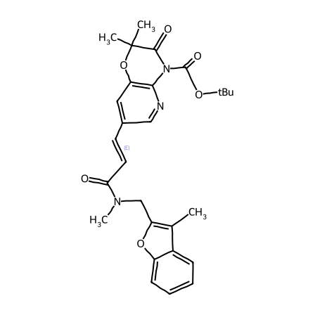 Cc1c(CN(C)C(=O)/C=C/c2cnc3c(c2)OC(C)(C)C(=O)N3C(=O)OC(C)(C)C)oc2ccccc12